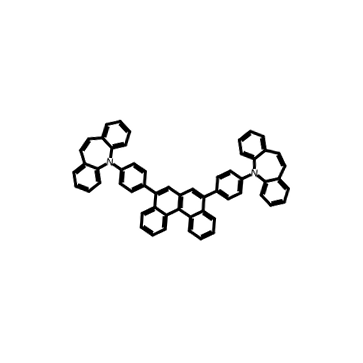 C1=Cc2ccccc2N(c2ccc(-c3cc4cc(-c5ccc(N6c7ccccc7C=Cc7ccccc76)cc5)c5ccccc5c4c4ccccc34)cc2)c2ccccc21